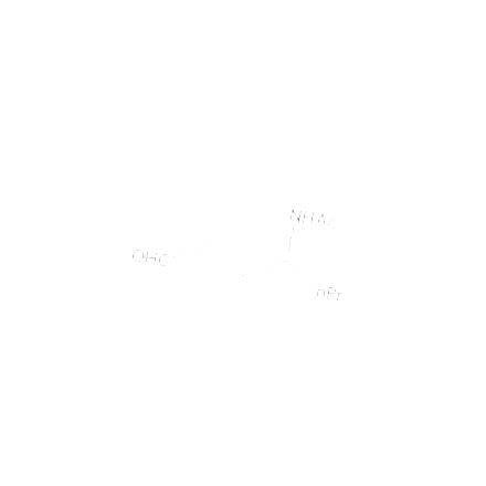 CCCC(C=CC=O)NC(C)=O